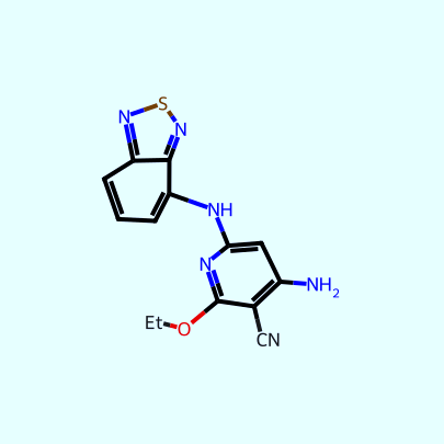 CCOc1nc(Nc2cccc3nsnc23)cc(N)c1C#N